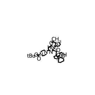 C[C@H](Oc1cc(N2CCN(C(=O)OC(C)(C)C)CC2)nc(C(=O)C2CCC[C@@]3(CCCCC34OCCO4)C2=N)n1)[C@@H]1CCCN1C